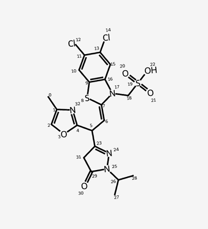 Cc1coc(C(C=C2Sc3cc(Cl)c(Cl)cc3N2CS(=O)(=O)O)C2=NN(C(C)C)C(=O)C2)n1